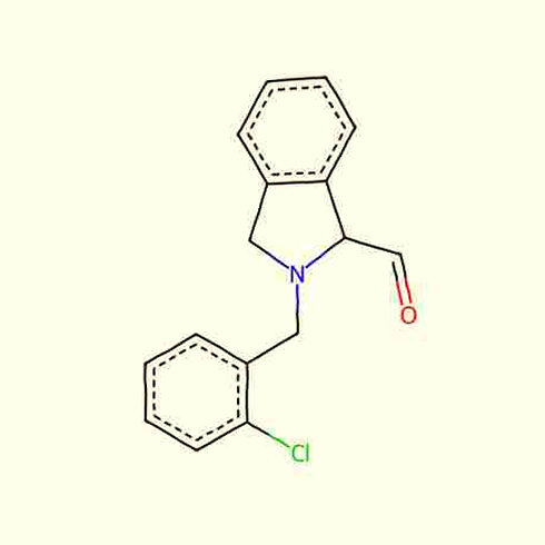 O=CC1c2ccccc2CN1Cc1ccccc1Cl